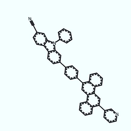 N#Cc1ccc2c3ccc(-c4ccc(-c5cc6c7ccccc7c(-c7cccnc7)cc6c6ccccc56)cc4)cc3n(-c3ccccc3)c2c1